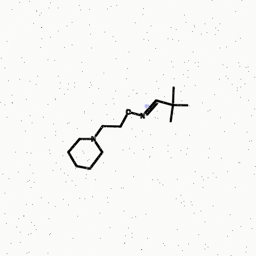 CC(C)(C)/C=N/OCCN1CCCCC1